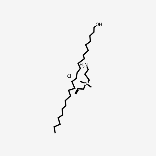 C=CC[N+](C)(C)CCCN.CCCCCCCCCCCCCCCCCCCCCCCCO.[Cl-]